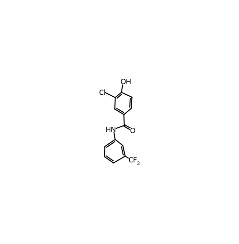 O=C(Nc1cccc(C(F)(F)F)c1)c1ccc(O)c(Cl)c1